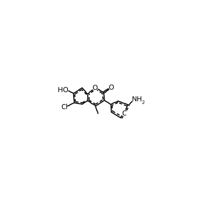 Cc1c(-c2cccc(N)c2)c(=O)oc2cc(O)c(Cl)cc12